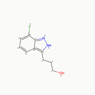 OCCCc1[nH]nc2c(F)cccc12